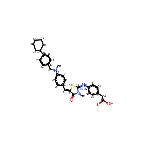 CN1C(=O)/C(=C/c2ccc(N(C)Cc3ccc(C4CCCCC4)cc3)cc2)S/C1=N/c1ccc(CC(=O)O)cc1